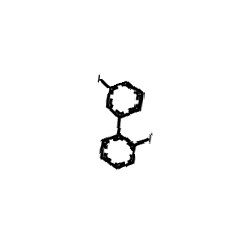 Ic1cccc(-c2ccccc2I)c1